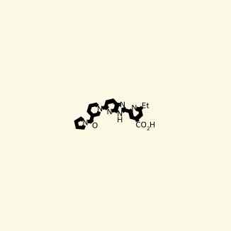 CCc1cc(C(=O)O)cc(-c2nc3ccc(N4CCCC(C(=O)N5CCCC5)C4)nc3[nH]2)n1